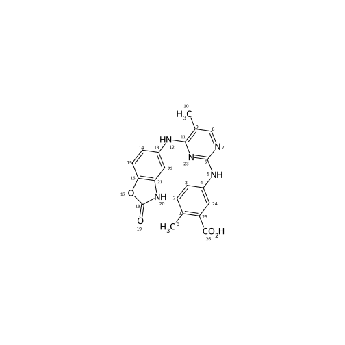 Cc1ccc(Nc2ncc(C)c(Nc3ccc4oc(=O)[nH]c4c3)n2)cc1C(=O)O